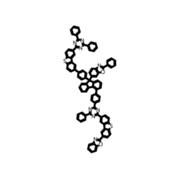 c1ccc(-c2nc(-c3ccccc3)nc(-c3ccc4sc5ccc(-c6ccc(C7(c8ccc9nc(-c%10ccccc%10)oc9c8)c8ccccc8-c8c(-c9ccc(-c%10nc(-c%11ccccc%11)nc(-c%11ccc%12sc%13ccc(-c%14nc%15ccccc%15o%14)cc%13c%12c%11)n%10)cc9)cccc87)cc6)cc5c4c3)n2)cc1